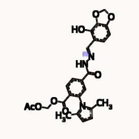 CC(=O)OCOC(=O)c1ccc(C(=O)N/N=C/c2ccc3c(c2O)OCO3)cc1-n1c(C)ccc1C